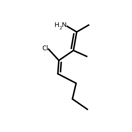 CCC/C=C(Cl)\C(C)=C(\C)N